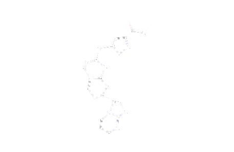 CNC(=O)c1cc(Nc2ncc3ccc(-c4cnc5ncccn45)cc3n2)c[nH]1